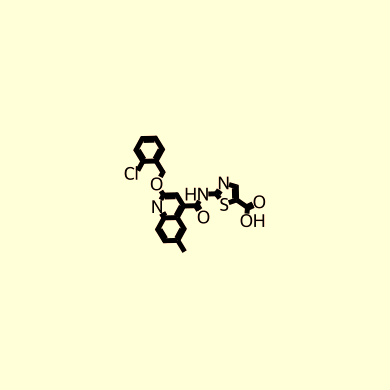 Cc1ccc2nc(OCc3ccccc3Cl)cc(C(=O)Nc3ncc(C(=O)O)s3)c2c1